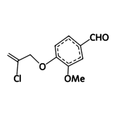 C=C(Cl)COc1ccc(C=O)cc1OC